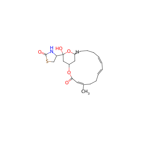 C/C1=C/C(=O)OC2C[C@@H](CCC/C=C\C=C\CC1)OC(O)(C1CSC(=O)N1)C2